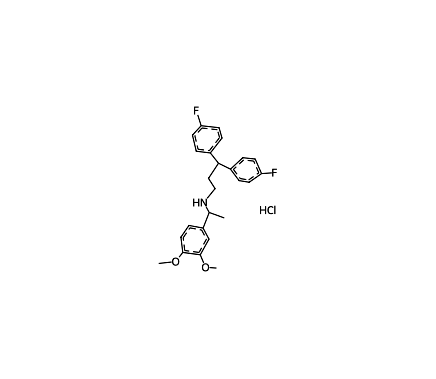 COc1ccc(C(C)NCCC(c2ccc(F)cc2)c2ccc(F)cc2)cc1OC.Cl